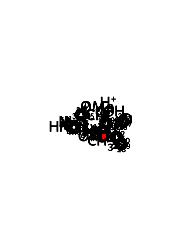 COc1cccc(CN(C(=O)c2cc(-c3cc([NH+]([O-])O)ccc3C(=O)N3Cc4ccccc4C[C@H]3CN3CCOCC3)n(C)c2C)c2ccc3[nH]ncc3c2)c1C